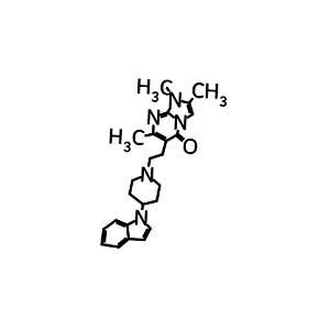 Cc1nc2n(C)c(C)cn2c(=O)c1CCN1CCC(n2ccc3ccccc32)CC1